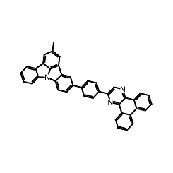 Cc1cc2c3ccccc3n3c4ccc(-c5ccc(-c6cnc7c8ccccc8c8ccccc8c7n6)cc5)cc4c(c1)c23